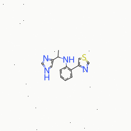 CC(Nc1ccccc1-c1cscn1)c1c[nH]cn1